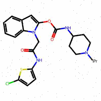 CC(C)N1CCC(NC(=O)Oc2cc3ccccc3n2CC(=O)Nc2ccc(Cl)s2)CC1